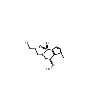 Cn1ccc2c1C(=NO)CN(CCCCl)S2(=O)=O